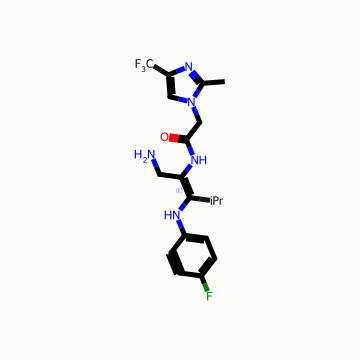 Cc1nc(C(F)(F)F)cn1CC(=O)N/C(CN)=C(/Nc1c#cc(F)cc1)C(C)C